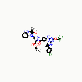 C=C1C(=O)C(NCC[C@H](NC(=O)c2ccc(Nc3nc(NC4(c5ccc(Cl)cc5)CC4)nc(OCC(F)(F)F)n3)cc2)C(=O)OCC)=C1NC1CCCCCC1